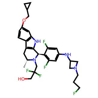 C[C@@H]1Cc2c([nH]c3cc(OCC4CC4)ccc23)[C@@H](c2c(F)cc(NC3CN(CCCF)C3)cc2F)N1CC(F)(F)CO